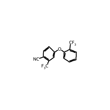 N#Cc1ccc(Oc2ccccc2C(F)(F)F)cc1C(F)(F)F